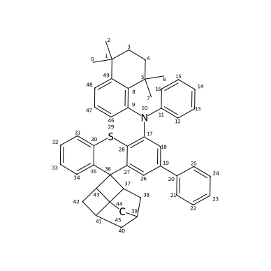 CC1(C)CCC(C)(C)c2c(N(c3ccccc3)c3cc(-c4ccccc4)cc4c3Sc3ccccc3C43C4CC5CC6CC3C64C5)cccc21